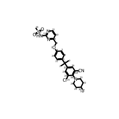 CC(C)(c1ccc(OCc2ccnc(NS(C)(=O)=O)n2)cc1)c1cc(Cl)c(N2CCC(F)CC2)c(C#N)c1